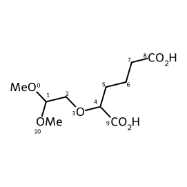 COC(COC(CCCC(=O)O)C(=O)O)OC